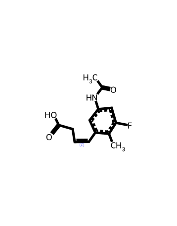 CC(=O)Nc1cc(F)c(C)c(/C=C\CC(=O)O)c1